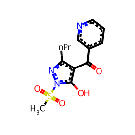 CCCc1nn(S(C)(=O)=O)c(O)c1C(=O)c1cccnc1